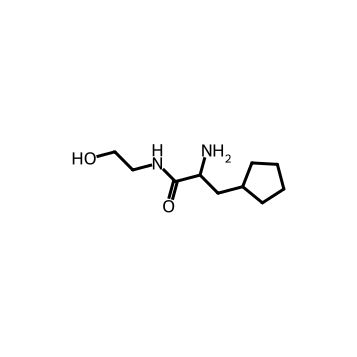 NC(CC1CCCC1)C(=O)NCCO